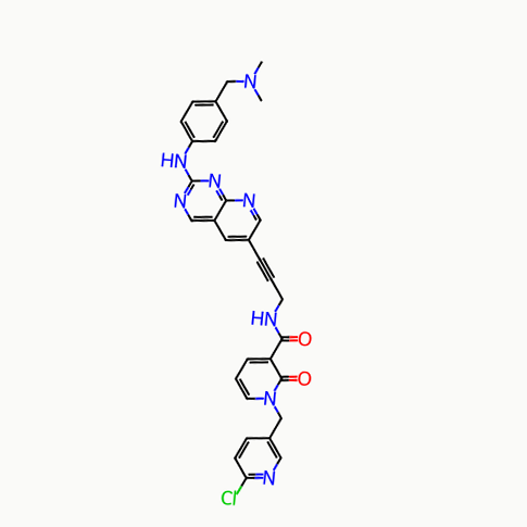 CN(C)Cc1ccc(Nc2ncc3cc(C#CCNC(=O)c4cccn(Cc5ccc(Cl)nc5)c4=O)cnc3n2)cc1